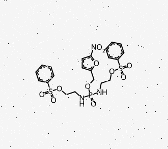 O=[N+]([O-])c1ccc(COP(=O)(NCCOS(=O)(=O)c2ccccc2)NCCOS(=O)(=O)c2ccccc2)o1